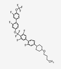 CCCCOC1CCC(c2ccc(-c3cc(F)c(C(F)(F)Oc4ccc(-c5ccc(OC(F)(F)F)c(F)c5)c(F)c4)c(F)c3)c(F)c2)CC1